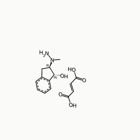 CN(N)[C@@H]1Cc2ccccc2[C@H]1O.O=C(O)C=CC(=O)O